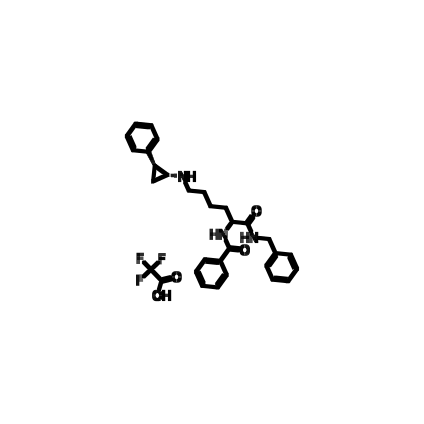 O=C(NC(CCCCN[C@@H]1C[C@H]1c1ccccc1)C(=O)NCc1ccccc1)c1ccccc1.O=C(O)C(F)(F)F